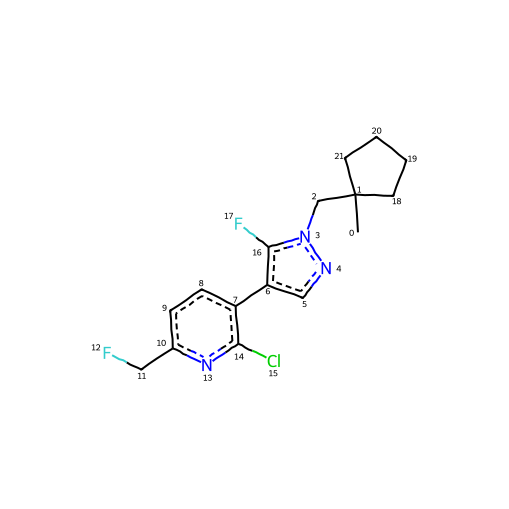 CC1(Cn2ncc(-c3ccc(CF)nc3Cl)c2F)CCCC1